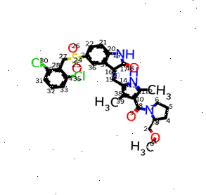 COC[C@@H]1CCCN1C(=O)c1c(C)[nH]c(/C=C2\C(=O)Nc3ccc(S(=O)(=O)Cc4c(Cl)cccc4Cl)cc32)c1C